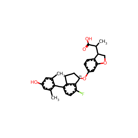 Cc1cc(O)cc(C)c1-c1ccc(F)c2c1CC[C@H]2Oc1ccc2c(c1)OCC2C(C)C(=O)O